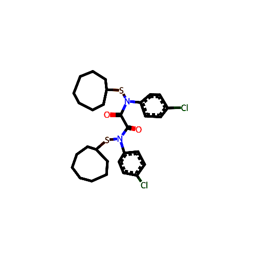 O=C(C(=O)N(SC1CCCCCCC1)c1ccc(Cl)cc1)N(SC1CCCCCCC1)c1ccc(Cl)cc1